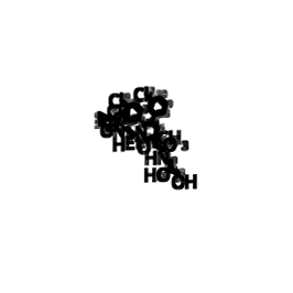 CC[C@@H](CNS(=O)(=O)C1(C)CC1)N1C(=O)[C@@](C)(CC(=O)NC[C@H](O)CO)C[C@H](c2cccc(Cl)c2)[C@H]1c1ccc(Cl)cc1